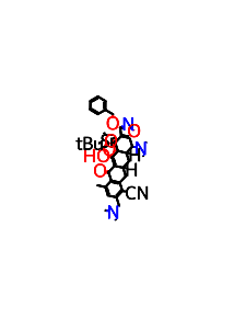 Cc1cc(CN(C)C)c(C#N)c2c1C(=O)C1=C(O)[C@]3(O[Si](C)(C)C(C)(C)C)C(=O)c4c(OCc5ccccc5)noc4[C@@H](N(C)C)[C@@H]3C[C@@H]1C2